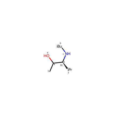 CCC(C)N[C@@H](C(C)C)C(C)O